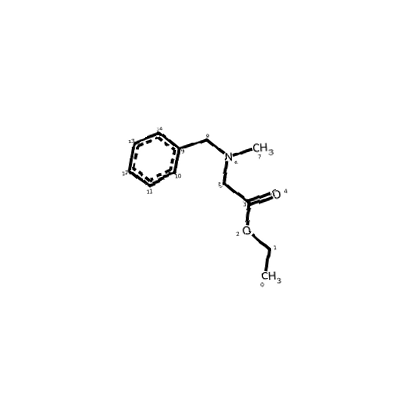 CCOC(=O)CN(C)Cc1ccccc1